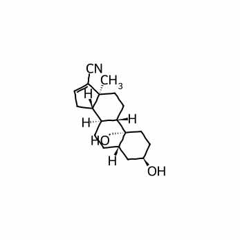 C[C@]12CC[C@H]3[C@@H](CC[C@H]4C[C@H](O)CC[C@@]43CO)[C@@H]1CC=C2C#N